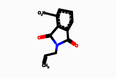 C=CCN1C(=O)c2cccc([N+](=O)[O-])c2C1=O